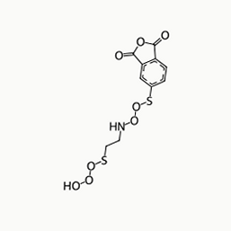 O=C1OC(=O)c2cc(SOONCCSOOO)ccc21